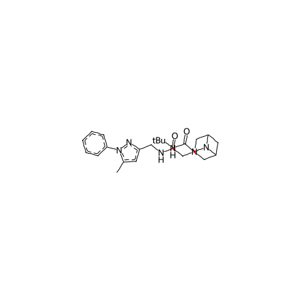 Cc1cc(CNC(=O)CN2CC3CC(C2)N3CC(=O)NC(C)(C)C)nn1-c1ccccc1